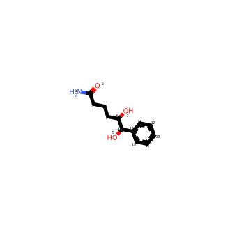 NC(=O)CCCC(O)C(O)c1ccccc1